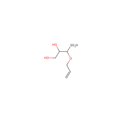 C=CCOC(C(O)CO)S(=O)(=O)O